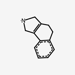 c1ccc2c(c1)CCC1=C2C[N]C1